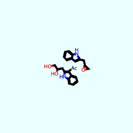 CC(=O)c1c(CC(O)CO)[nH]c2ccccc12.c1ccc2[nH]c(CC3CO3)cc2c1